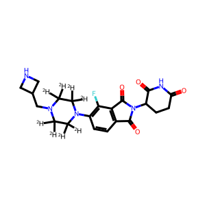 [2H]C1([2H])N(CC2CNC2)C([2H])([2H])C([2H])([2H])N(c2ccc3c(c2F)C(=O)N(C2CCC(=O)NC2=O)C3=O)C1([2H])[2H]